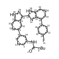 CCCCC(=O)Nc1cncc(-c2cc3c(-c4nc5c(-c6ccc(F)cc6)cncc5[nH]4)n[nH]c3cn2)c1